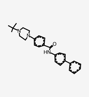 CC(C)(C)N1CCN(c2ccc(C(=O)Nc3ccc(-c4ccccc4)cc3)cc2)CC1